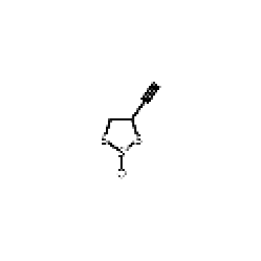 C#CC1CS[S+]([O-])S1